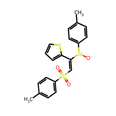 Cc1ccc([S+]([O-])C(=CS(=O)(=O)c2ccc(C)cc2)c2cccs2)cc1